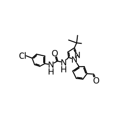 CC(C)(C)c1cc(NC(=O)Nc2ccc(Cl)cc2)n(-c2cccc(C=O)c2)n1